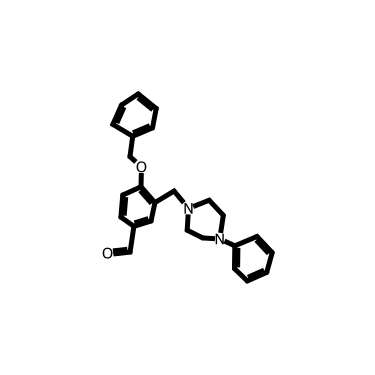 O=Cc1ccc(OCc2ccccc2)c(CN2CCN(c3ccccc3)CC2)c1